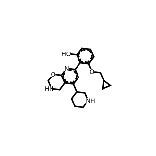 Oc1cccc(OCC2CC2)c1-c1cc(C2CCCNC2)c2c(n1)OCNC2